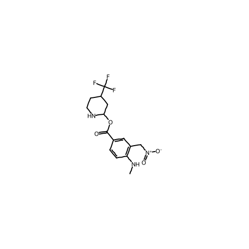 CNc1ccc(C(=O)OC2CC(C(F)(F)F)CCN2)cc1C[N+](=O)[O-]